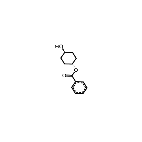 O=C(O[C@H]1CC[C@H](O)CC1)c1ccccc1